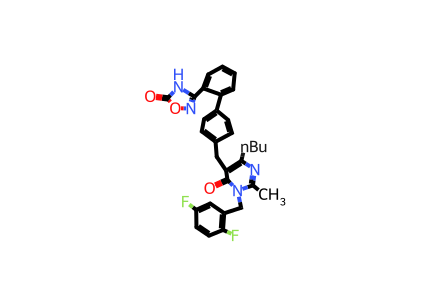 CCCCc1nc(C)n(Cc2cc(F)ccc2F)c(=O)c1Cc1ccc(-c2ccccc2-c2noc(=O)[nH]2)cc1